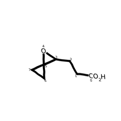 O=C(O)CCC1OC12CC2